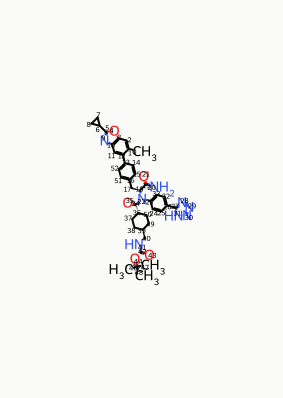 Cc1cc2oc(C3CC3)nc2cc1-c1ccc(C[C@@H](C(N)=O)N(c2ccc(-c3nnn[nH]3)cc2)C(=O)[C@H]2CC[C@H](CNC(=O)OC(C)(C)C)CC2)cc1